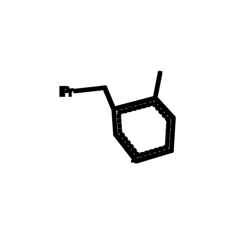 Cc1cc[c]cc1CC(C)C